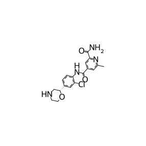 Cc1cc(C(=O)Nc2ccc([C@H]3CNCCO3)cc2Cl)cc(C(N)=O)n1